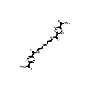 COC(=O)C1=NNC(C(=O)NCCSSCCNC(=O)C2=NNC(C(=O)OC)=NN2)=NN1